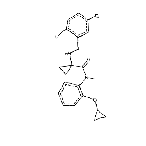 CN(C(=O)C1(NCc2cc(Cl)ccc2Cl)CC1)c1ccccc1OC1CC1